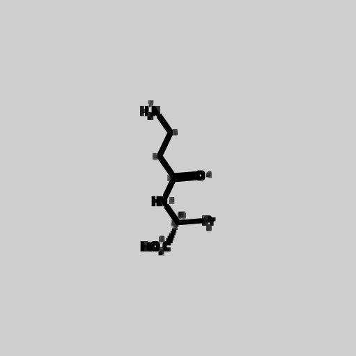 CCOC(=O)[C@H](NC(=O)CCN)C(C)C